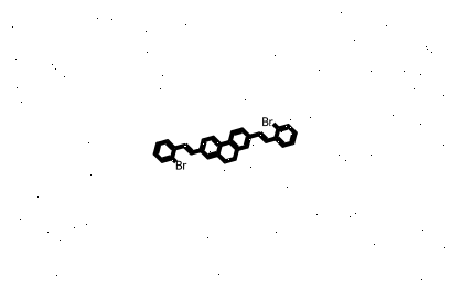 Brc1ccccc1C=Cc1ccc2c(c1)CCc1cc(C=Cc3ccccc3Br)ccc1-2